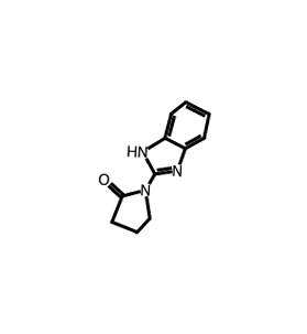 O=C1CCCN1c1nc2ccccc2[nH]1